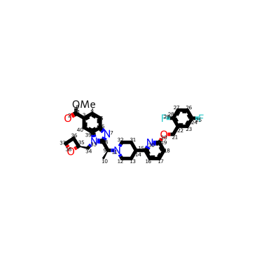 COC(=O)c1ccc2nc([C@H](C)N3CCC(c4cccc(OCc5cc(F)ccc5F)n4)CC3)n(C[C@@H]3CCO3)c2c1